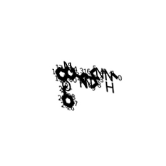 CCNCN1CCC2(CCn3nc(-c4cnc5cccc(OCc6ccccc6)c5c4)cc32)C1